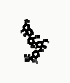 Cc1ccc(-n2ncc3cc(C(C)(C)C)cc(F)c3c2=O)c(O)c1-c1cc(Nc2ccc(C(C)(C)O)cn2)c(=O)n(C)c1